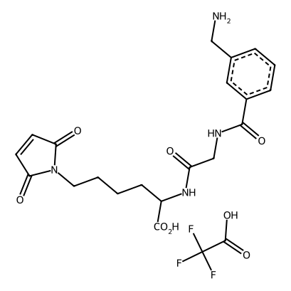 NCc1cccc(C(=O)NCC(=O)NC(CCCCN2C(=O)C=CC2=O)C(=O)O)c1.O=C(O)C(F)(F)F